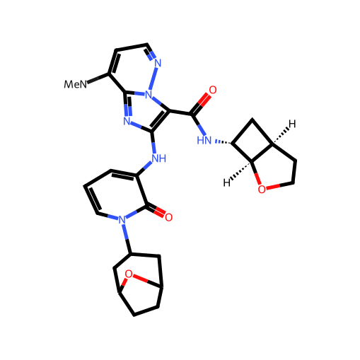 CNc1ccnn2c(C(=O)N[C@@H]3C[C@H]4CCO[C@H]43)c(Nc3cccn(C4CC5CCC(C4)O5)c3=O)nc12